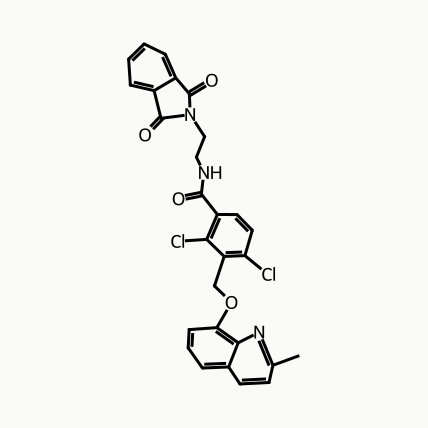 Cc1ccc2cccc(OCc3c(Cl)ccc(C(=O)NCCN4C(=O)c5ccccc5C4=O)c3Cl)c2n1